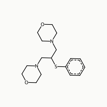 c1ccc(SC(CN2CCOCC2)CN2CCOCC2)cc1